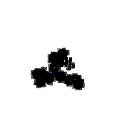 CC1(C)c2ccccc2-c2cccc(-c3ccc(N(c4ccc(-c5ccc6c(ccc7ccccc76)c5)cc4)c4ccc5c(c4)C4(CCc6ccccc64)c4ccccc4-5)cc3)c21